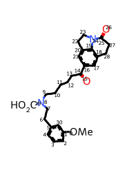 COc1cccc(CCN(CCCCCC(=O)c2cc3c4c(c2)CCN4C(=O)CC3)C(=O)O)c1